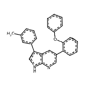 Cc1cccc(-c2c[nH]c3ncc(-c4ccccc4Oc4ccccc4)cc23)c1